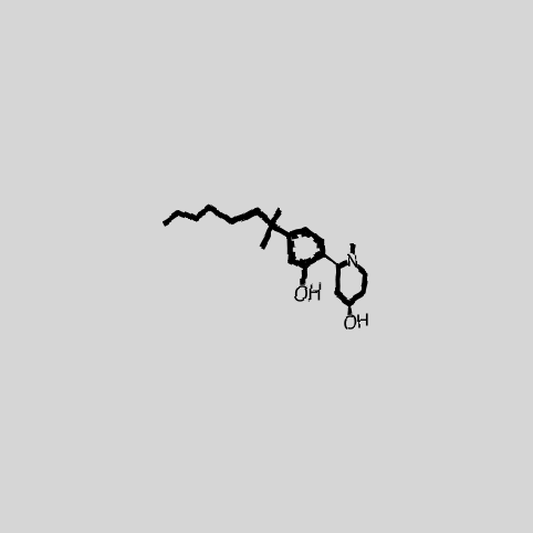 CCCCCCC(C)(C)c1ccc([C@@H]2C[C@H](O)CCN2C)c(O)c1